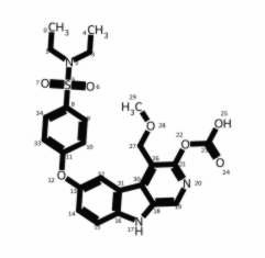 CCN(CC)S(=O)(=O)c1ccc(Oc2ccc3[nH]c4cnc(OC(=O)O)c(COC)c4c3c2)cc1